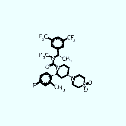 Cc1cc(F)ccc1[C@H]1C[C@@H](N2CCS(=O)(=O)CC2)CCN1C(=O)N(C)[C@@H](C)c1cc(C(F)(F)F)cc(C(F)(F)F)c1